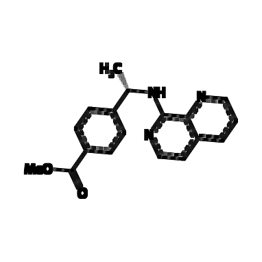 COC(=O)c1ccc([C@H](C)Nc2nccc3cccnc23)cc1